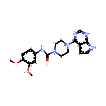 COc1ccc(NC(=O)N2CCN(c3ncnc4[nH]ccc34)CC2)cc1OC